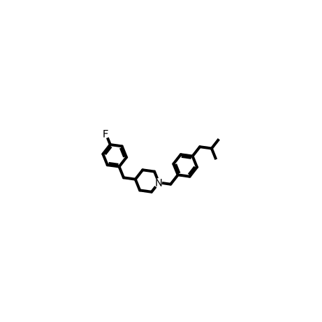 CC(C)Cc1ccc(CN2CCC(Cc3ccc(F)cc3)CC2)cc1